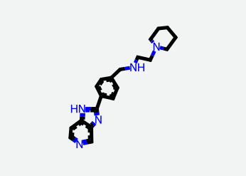 c1cc2[nH]c(-c3ccc(CNCCN4CCCCC4)cc3)nc2cn1